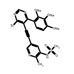 CCc1ncnc(-c2ccc(OC)c(OC)c2OC)c1C#Cc1cnc(C)c(NS(C)(=O)=O)c1